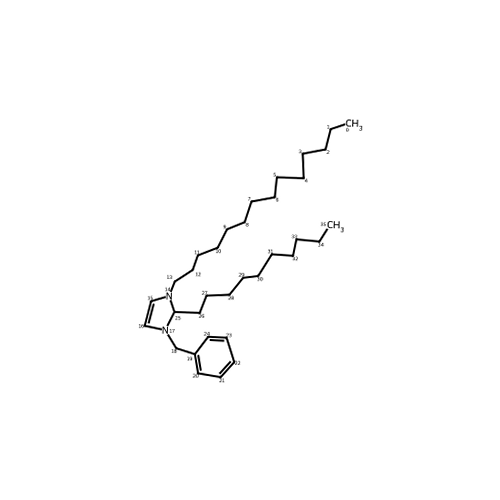 CCCCCCCCCCCCCCN1C=CN(Cc2ccccc2)C1CCCCCCCCCC